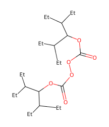 CCC(CC)C(OC(=O)OOC(=O)OC(C(CC)CC)C(CC)CC)C(CC)CC